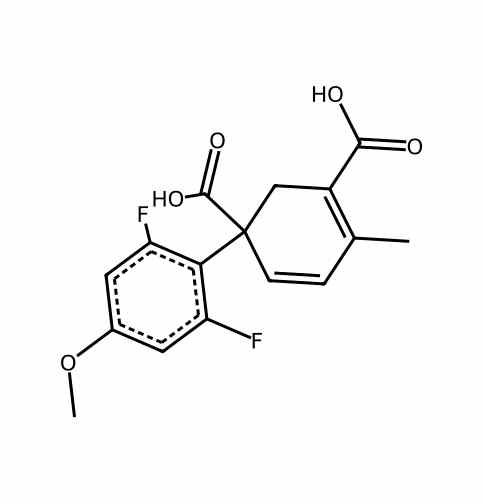 COc1cc(F)c(C2(C(=O)O)C=CC(C)=C(C(=O)O)C2)c(F)c1